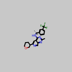 Cc1nc(N[C@H](C)c2cccc(C(F)(F)F)c2)c2cc(C3CCCOC3)ncc2n1